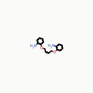 Nc1ccccc1OC/C=C\COc1ccccc1N